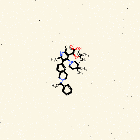 Cc1nc(C)c(C(OC(C)(C)C)C(=O)O)c(N2CCC(C)(C)CC2)c1-c1ccc2c(c1)CCN(C(C)c1ccccc1)C2